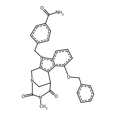 CN1C(=O)C2CN(Cc3c2c2c(OCc4ccccc4)cccc2n3Cc2ccc(C(N)=O)cc2)C1=O